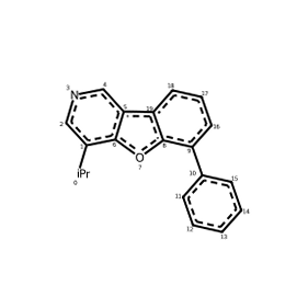 CC(C)c1cncc2c1oc1c(-c3ccccc3)cccc12